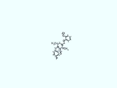 CCOc1ccccc1OCN1C[C@@H](C)N(Cc2ccc(F)cc2)C(=C=O)[C@@H]1C